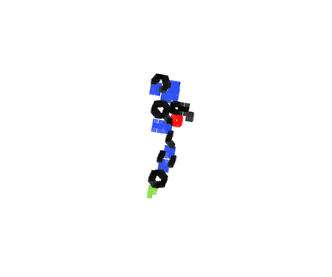 Cc1c(C(=O)NCCCN2CCN(c3ccc(F)cc3)CC2)cccc1-n1nnc2cccnc21